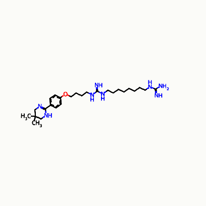 CC1(C)CN=C(c2ccc(OCCCCNC(=N)NCCCCCCCCNC(=N)N)cc2)NC1